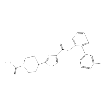 CC(=O)NC(=S)N1CCC(c2nc(C(=O)Nc3ccccc3-c3cccc(C(F)(F)F)c3)cs2)CC1